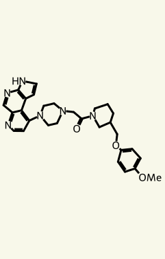 COc1ccc(OCC2CCCN(C(=O)CN3CCN(c4ccnc5cnc6[nH]ccc6c45)CC3)C2)cc1